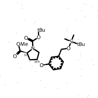 COC(=O)[C@@H]1C[C@@H](Oc2cccc(CO[Si](C)(C)C(C)(C)C)c2)CN1C(=O)OC(C)(C)C